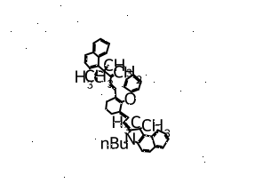 C=C(/C=C/C1=C(Oc2ccccc2)C(=C/C=C2/N(CCCC)c3ccc4ccccc4c3C2(C)C)/CCC1)C(C)(C)c1c(C)ccc2ccccc12